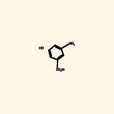 CCOC(=O)c1cccc([N+](=O)[O-])c1.Cl